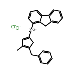 CC1=C(Cc2ccccc2)C[C]([Zr+2][c]2cccc3c2Cc2ccccc2-3)=C1.[Cl-].[Cl-]